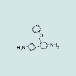 Nc1ccc(-c2ccc(N)cc2COc2ccccc2)cc1